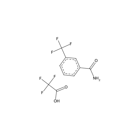 NC(=O)c1cccc(C(F)(F)F)c1.O=C(O)C(F)(F)F